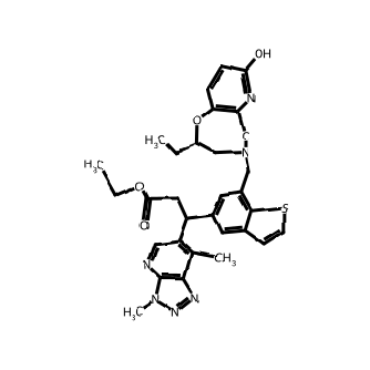 CCOC(=O)CC(c1cc(CN2Cc3nc(O)ccc3O[C@H](CC)C2)c2sccc2c1)c1cnc2c(nnn2C)c1C